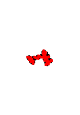 c1ccc(-n2c3ccccc3c3cc(-c4ccc(-c5cc(-c6ccc(-n7c8ccccc8c8ccccc87)cc6)c6c(c5)c5ccccc5n6-c5ccccc5)cc4)ccc32)cc1